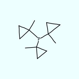 CC1(P(C2(C)CC2)C2(C)CC2)CC1